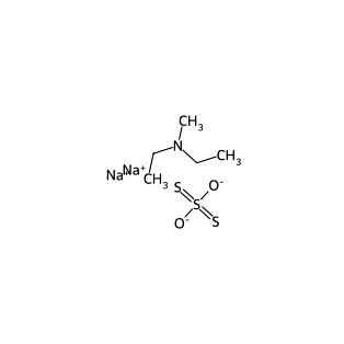 CCN(C)CC.[Na+].[Na+].[O-]S([O-])(=S)=S